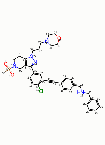 CS(=O)(=O)N1CCc2c(c(-c3ccc(Cl)c(C#Cc4ccc(CNCc5ccccc5)cc4)c3)nn2CCCN2CCOCC2)C1